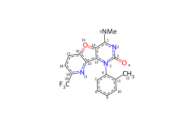 CNc1nc(=O)n(-c2ccccc2C)c2c1oc1ccc(C(F)(F)F)nc12